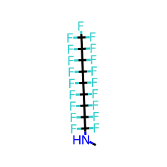 CNC(F)(F)C(F)(F)C(F)(F)C(F)(F)C(F)(F)C(F)(F)C(F)(F)C(F)(F)C(F)(F)F